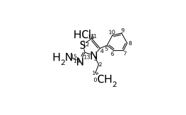 C=CCn1c(-c2ccccc2)csc1=NN.Cl